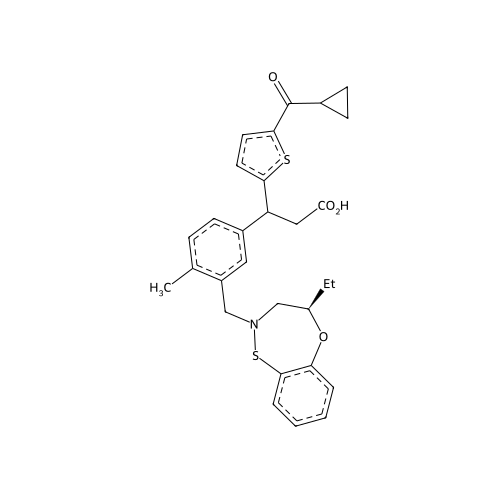 CC[C@@H]1CN(Cc2cc(C(CC(=O)O)c3ccc(C(=O)C4CC4)s3)ccc2C)Sc2ccccc2O1